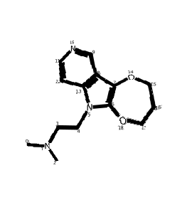 CN(C)CCn1c2c(c3cnccc31)OCCCO2